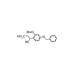 COc1cc(OCc2ccccc2)ccc1C(C#N)CC(=O)O